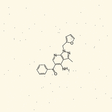 Cc1nn(Cc2ccco2)c2ncc(C(=O)c3ccccc3)c(N)c12